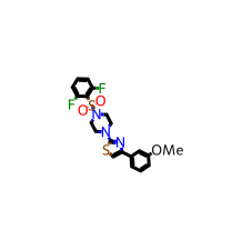 COc1cccc(-c2csc(N3CCN(S(=O)(=O)c4c(F)cccc4F)CC3)n2)c1